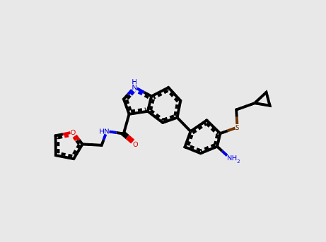 Nc1ccc(-c2ccc3[nH]cc(C(=O)NCc4ccco4)c3c2)cc1SCC1CC1